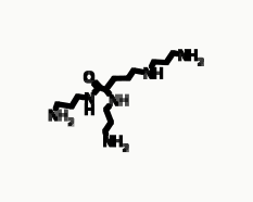 NCCCNCCCC(NCCCN)C(=O)NCCCN